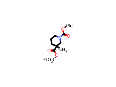 CCOC(=O)OC(=O)C1(C)CCCN(C(=O)OC(C)(C)C)C1